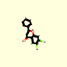 O=c1cc(-c2ccccc2)oc2cc(F)c(F)cc12